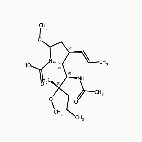 CC=C[C@@H]1CC(OC)N(C(=O)O)[C@H]1[C@@H](NC(C)=O)[C@](C)(CCC)OC